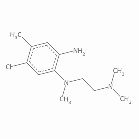 Cc1cc(N)c(N(C)CCN(C)C)cc1Cl